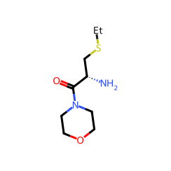 CCSC[C@H](N)C(=O)N1CCOCC1